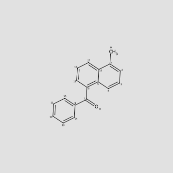 Cc1cccc2c(C(=O)c3ccccc3)cccc12